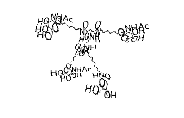 CC(=O)NC1C(OCCCCCCNC(=O)CCC(NC(=O)CCC(NC(=O)CCCCCCCCCNC(=O)[C@H]2C[C@@H](O)[C@H](CO)O2)C(=O)NCCCCCCOC2OC(CO)C(O)C(O)C2NC(C)=O)C(=O)NCCCCCCOC2OC3(CC3)C(O)C(O)C2NC(C)=O)OC(CO)C(O)C1O